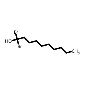 CCCCCCCCCC(O)(Br)Br